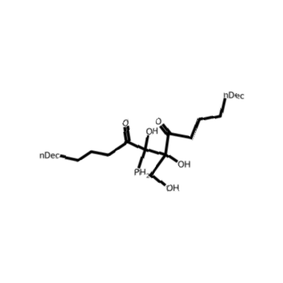 CCCCCCCCCCCCCC(=O)C(O)(P)C(O)(CO)C(=O)CCCCCCCCCCCCC